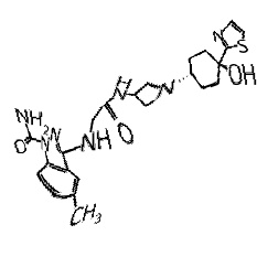 Cc1ccc2c(c1)c(NCC(=O)NC1CN([C@H]3CC[C@@](O)(c4nccs4)CC3)C1)nn2C(N)=O